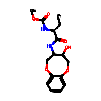 CC(C)C[C@H](NC(=O)OC(C)(C)C)C(=O)NC1COc2ccccc2OCC1O